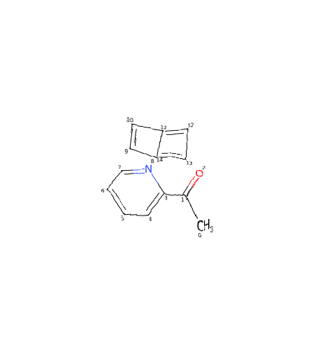 CC(=O)c1ccccn1.c1cc2ccc1-2